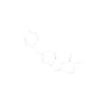 Cn1ccc2c(c1=O)c1ccc(Nc3ccc(F)c(F)c3)nc1n2C